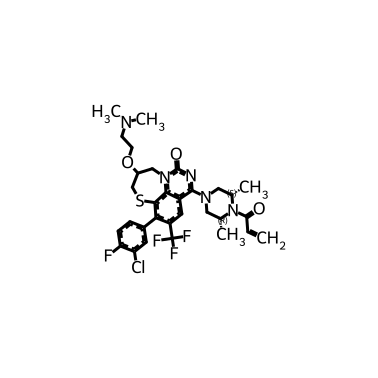 C=CC(=O)N1[C@H](C)CN(c2nc(=O)n3c4c(c(-c5ccc(F)c(Cl)c5)c(C(F)(F)F)cc24)SCC(OCCN(C)C)C3)C[C@@H]1C